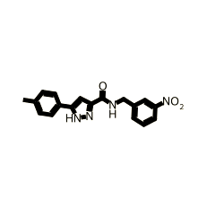 Cc1ccc(-c2cc(C(=O)NCc3cccc([N+](=O)[O-])c3)n[nH]2)cc1